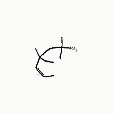 C/C=C\C(C)(C)CC(C)(C)N